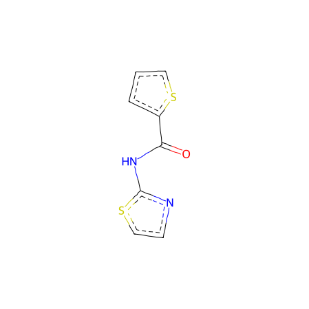 O=C(Nc1nccs1)c1cccs1